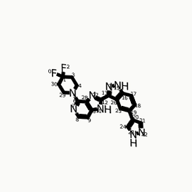 FC1(F)CCN(c2nccc3[nH]c(-c4n[nH]c5ccc(-c6cn[nH]c6)cc45)nc23)CC1